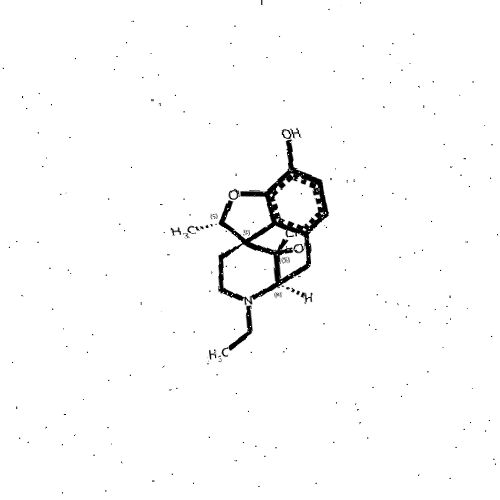 CCN1CC[C@]23c4c(ccc(O)c4O[C@H]2C)C[C@@H]1[C@@]3(C)O